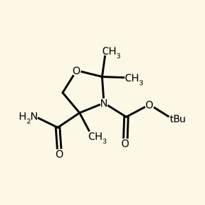 CC(C)(C)OC(=O)N1C(C)(C)OCC1(C)C(N)=O